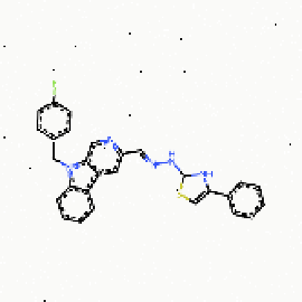 Fc1ccc(Cn2c3ccccc3c3cc(C=NNC4NC(c5ccccc5)=CS4)ncc32)cc1